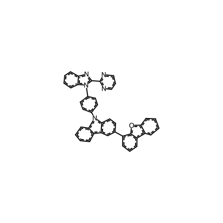 c1cnc(-c2nc3ccccc3n2-c2ccc(-n3c4ccccc4c4cc(-c5cccc6c5oc5ccccc56)ccc43)cc2)nc1